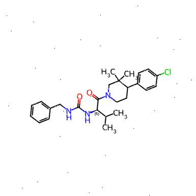 CC(C)[C@@H](NC(=O)NCc1ccccc1)C(=O)N1CCC(c2ccc(Cl)cc2)C(C)(C)C1